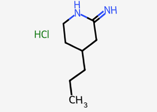 CCCC1CCNC(=N)C1.Cl